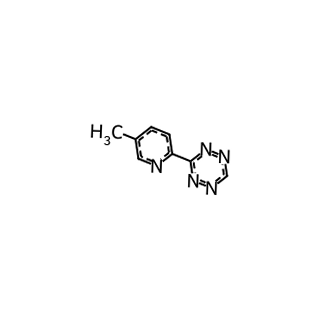 Cc1ccc(-c2nncnn2)nc1